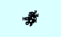 CC1=C[C@H]2O[C@@H]3C[C@H](C)[C@@](C)(C34O[C@@H]4C)[C@@]2(CO)CC1=O